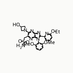 CCOc1cccc(-c2nc3nc(N4CC(O)C4)c(CS(N)(=O)=O)nc3n2-c2c(OC)cccc2OC)n1